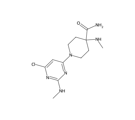 CNc1nc(Cl)cc(N2CCC(NC)(C(N)=O)CC2)n1